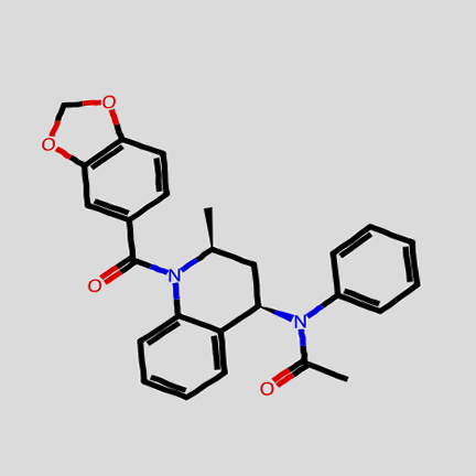 CC(=O)N(c1ccccc1)[C@@H]1C[C@H](C)N(C(=O)c2ccc3c(c2)OCO3)c2ccccc21